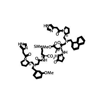 COC(=O)[C@H](C)N(NN1CCC(=O)C1)C(=O)CN(Cc1cccc2ccccc12)C[C@@H]1CCCN1C(=O)Cc1c[nH]cn1.COc1cccc(CN(CC(=O)N[C@@H](CCSC)C(=O)O)C[C@@H]2CCCN2C(=O)Cc2c[nH]cn2)c1